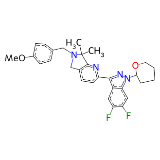 COc1ccc(CN2Cc3ccc(-c4nn(C5CCCCO5)c5cc(F)c(F)cc45)nc3C2(C)C)cc1